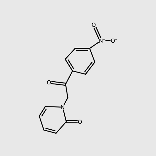 O=C(Cn1ccccc1=O)c1ccc([N+](=O)[O-])cc1